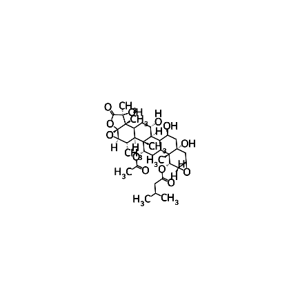 CC(=O)O[C@H]1CC2C([C@@H]3[C@@H](O)CC4[C@H]([C@H](C)[C@H]5O[C@]56OC(=O)[C@@](C)(O)[C@]46C)[C@@]13C)[C@@H](O)C[C@@]1(O)C[C@@H]3O[C@@H]3[C@H](OC(=O)CC(C)C)[C@]21C